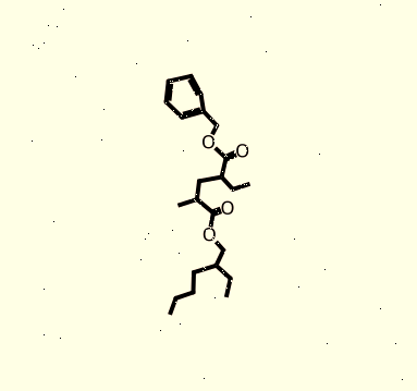 CCCCC(CC)COC(=O)C(C)CC(CC)C(=O)OCc1ccccc1